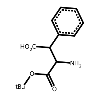 CC(C)(C)OC(=O)C(N)C(C(=O)O)c1ccccc1